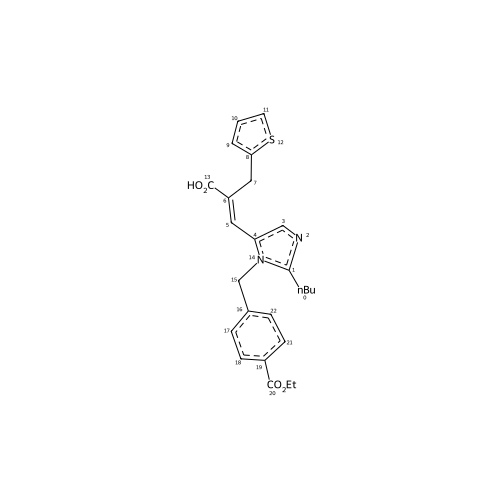 CCCCc1ncc(C=C(Cc2cccs2)C(=O)O)n1Cc1ccc(C(=O)OCC)cc1